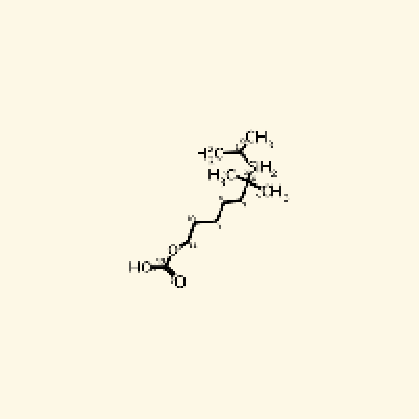 CC(C)[SiH2]C(C)(C)CCCCCOC(=O)O